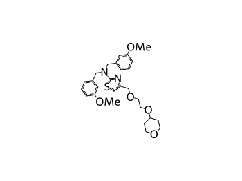 COc1cccc(CN(Cc2cccc(OC)c2)c2nc(COCCOC3CCOCC3)cs2)c1